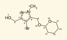 Cn1nc(CO)c(Br)c1COC1CCCCO1